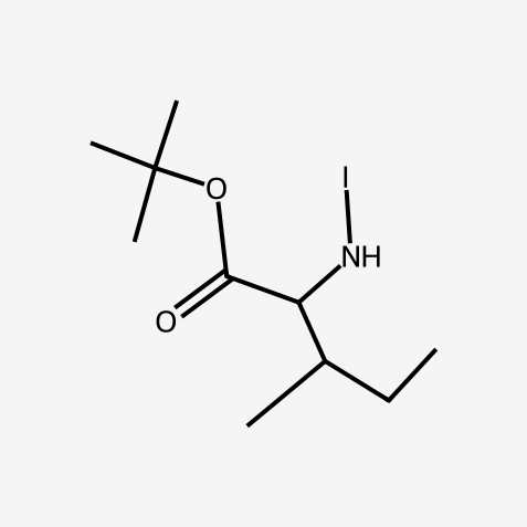 CCC(C)C(NI)C(=O)OC(C)(C)C